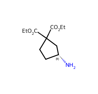 CCOC(=O)C1(C(=O)OCC)CC[C@@H](N)C1